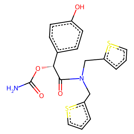 NC(=O)O[C@@H](C(=O)N(Cc1cccs1)Cc1cccs1)c1ccc(O)cc1